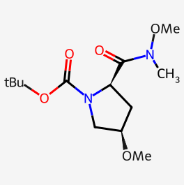 CO[C@@H]1C[C@H](C(=O)N(C)OC)N(C(=O)OC(C)(C)C)C1